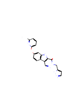 Cc1cccc(Oc2ccc3c4cnn(Cc5ccn[nH]5)c(=O)c4n(C)c3c2)n1